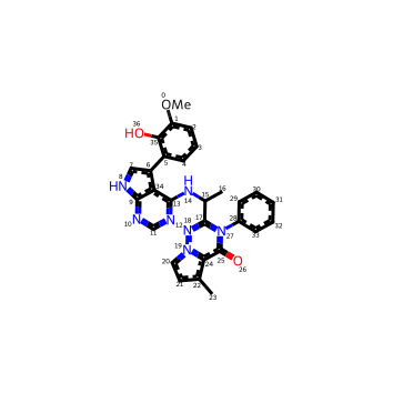 COc1cccc(-c2c[nH]c3ncnc(NC(C)c4nn5ccc(C)c5c(=O)n4-c4ccccc4)c23)c1O